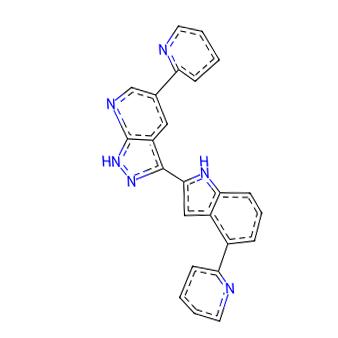 c1ccc(-c2cnc3[nH]nc(-c4cc5c(-c6ccccn6)cccc5[nH]4)c3c2)nc1